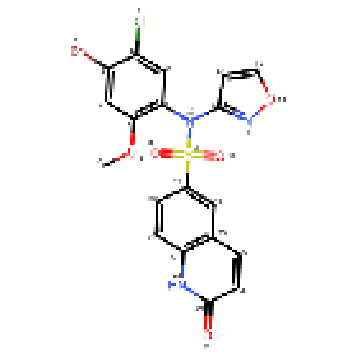 COc1cc(Br)c(Cl)cc1N(c1ccon1)S(=O)(=O)c1ccc2[nH]c(=O)ccc2c1